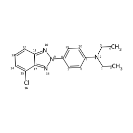 CCN(CC)c1ccc(-n2nc3cccc(Cl)c3n2)cc1